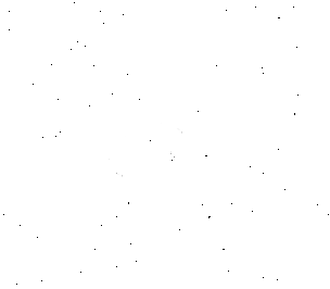 CC(C1CCCCC1)N1N=C(CN(C)C(=O)O)CC1=O